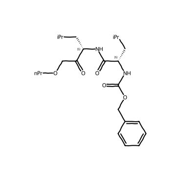 CCCOCC(=O)[C@H](CC(C)C)NC(=O)[C@H](CC(C)C)NC(=O)OCc1ccccc1